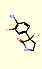 CC1(c2ccc(N)c(Br)c2)CCNC1=O